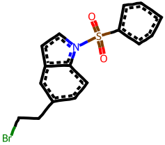 O=S(=O)(c1ccccc1)n1ccc2cc(CCBr)ccc21